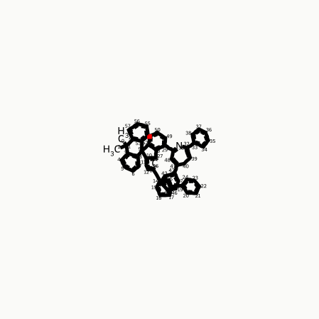 CC1(C)c2ccccc2C2(c3ccc(-c4cccc(-c5ccccc5)c4)cc3-c3c(C4=NC(c5ccccc5)=CCC(c5ccccc5)=C4)cccc32)c2ccccc21